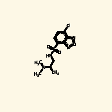 CC(CNS(=O)(=O)c1ccc(Cl)c2nonc12)N(C)C